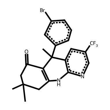 CC1(C)CC(=O)C2=C(C1)Nc1ncc(C(F)(F)F)cc1C2(C)c1cccc(Br)c1